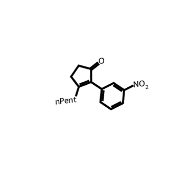 CCCCCC1=C(c2cccc([N+](=O)[O-])c2)C(=O)CC1